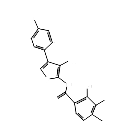 O=C(Nc1scc(-c2ccc(Cl)cc2)c1C(=O)O)c1ccc(F)c(F)c1O